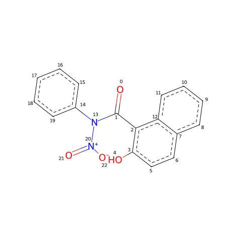 O=C(c1c(O)ccc2ccccc12)N(c1ccccc1)[N+](=O)[O-]